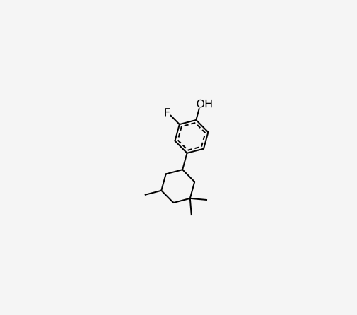 CC1CC(c2ccc(O)c(F)c2)CC(C)(C)C1